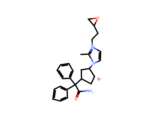 Cc1n(C2CCC(C(C(N)=O)(c3ccccc3)c3ccccc3)C2)cc[n+]1CCC1CO1.[Br-]